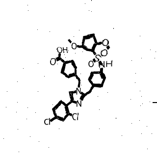 COc1ccc(OC)c(S(=O)(=O)Nc2ccc(Cc3nc(-c4ccc(Cl)cc4Cl)cn3Cc3ccc(C(=O)O)cc3)cc2)c1